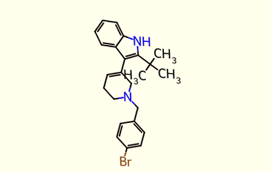 CC(C)(C)c1[nH]c2ccccc2c1C1=CCCN(Cc2ccc(Br)cc2)C1